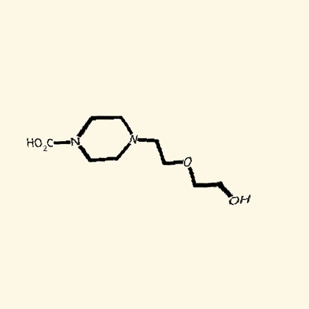 O=C(O)N1CCN(CCOCCO)CC1